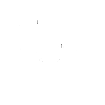 CCC(C)C(=O)N(Cc1ccccn1)C(C)(C)C